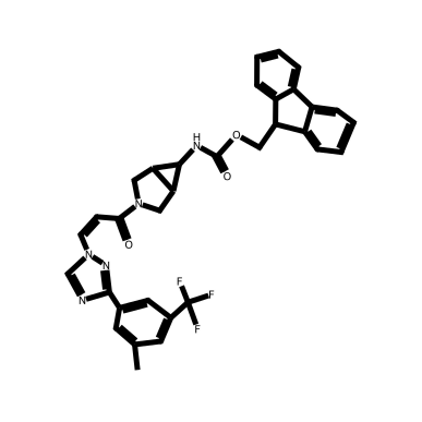 Cc1cc(-c2ncn(/C=C\C(=O)N3CC4C(C3)C4NC(=O)OCC3c4ccccc4-c4ccccc43)n2)cc(C(F)(F)F)c1